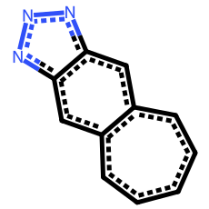 c1ccc2cc3nnnc3cc2cc1